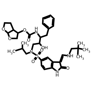 CC(C)CN(CC(O)C(Cc1ccccc1)NC(=O)OC1COC2OCCC12)S(=O)(=O)c1ccc2c(c1)C(=CNCC(C)(C)C)C(=O)N2